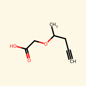 C#CCC(C)OCC(=O)O